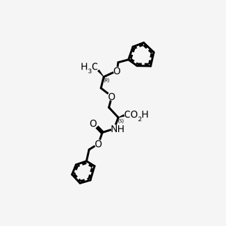 C[C@H](COC[C@H](NC(=O)OCc1ccccc1)C(=O)O)OCc1ccccc1